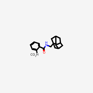 O=C(O)c1ccccc1C(=O)NCC12CC3CC(CC(C3)C1)C2